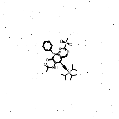 CC(=O)Nc1c(C#C[Si](C(C)C)(C(C)C)C(C)C)c2cnc(S(C)(=O)=O)nc2n(-c2ccccc2)c1=O